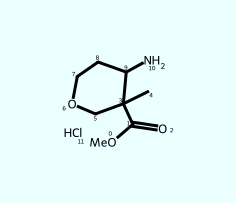 COC(=O)C1(C)COCCC1N.Cl